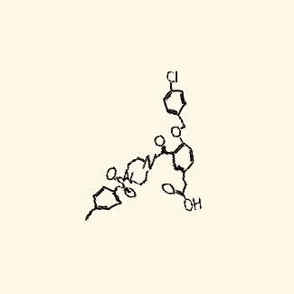 Cc1ccc(S(=O)(=O)N2CCN(C(=O)c3cc(CC(=O)O)ccc3OCc3ccc(Cl)cc3)CC2)cc1